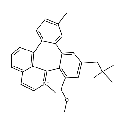 COCc1cc(CC(C)(C)C)cc2c1-c1c3c(cccc3cc[n+]1C)-c1ccc(C)cc1-2